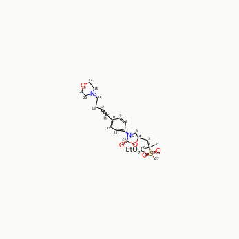 CCOC(=O)C(C)(CC1CN(c2ccc(C#CCCN3CCOCC3)cc2)C(=O)O1)S(C)(=O)=O